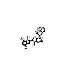 COc1ccc(Br)c2[nH]c(C(=O)NC(CC3CC3)C(=O)NC(C#N)CC3CCCNC3=O)cc12